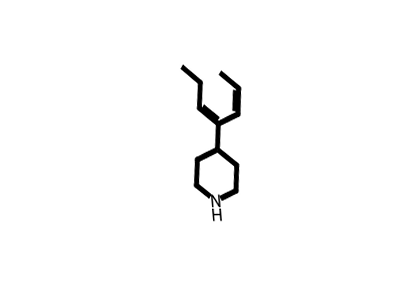 C/C=C\C(=C/CC)C1CCNCC1